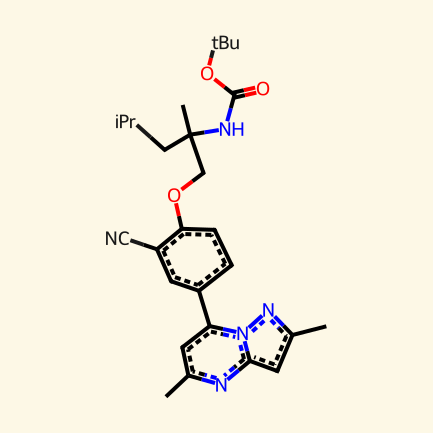 Cc1cc(-c2ccc(OCC(C)(CC(C)C)NC(=O)OC(C)(C)C)c(C#N)c2)n2nc(C)cc2n1